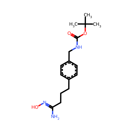 CC(C)(C)OC(=O)NCc1ccc(CCCC(N)=NO)cc1